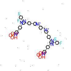 O=P(O)(O)C[n+]1ccc(-c2ccc(-c3cc(-c4ccc(-c5cc[n+](Cc6cccc(C[n+]7ccc(-c8ccc(-c9cc(-c%10ccc(-c%11cc[n+](CP(=O)(O)O)cc%11)cc%10)nc(-c%10ccc(F)cc%10F)n9)cc8)cc7)c6)cc5)cc4)nc(-c4ccc(F)cc4F)n3)cc2)cc1